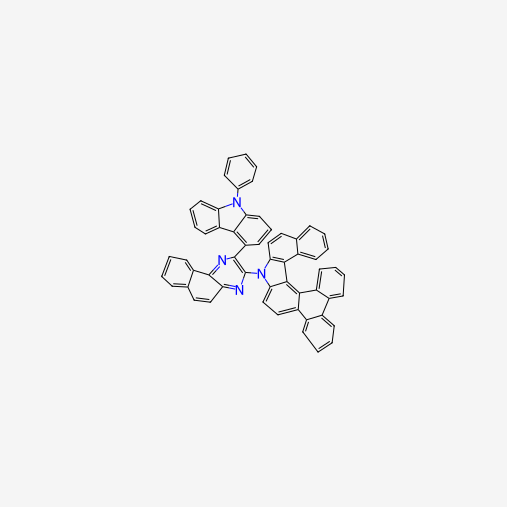 c1ccc(-n2c3ccccc3c3c(-c4nc5c(ccc6ccccc65)nc4-n4c5ccc6ccccc6c5c5c6c7ccccc7c7ccccc7c6ccc54)cccc32)cc1